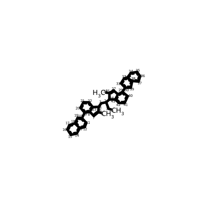 CCC(CC1C(C)=Cc2c(-c3ccc4ccccc4c3)cccc21)C1C(C)=Cc2c(-c3ccc4ccccc4c3)cccc21